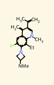 C=C(C)C1=CN(C)c2c(cc(F)c(N3CC(NC)C3)c2CC)C1=C